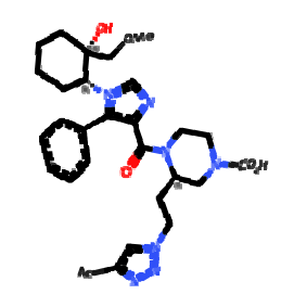 COC[C@]1(O)CCCC[C@H]1n1cnc(C(=O)N2CCN(C(=O)O)C[C@H]2CCn2cc(C(C)=O)nn2)c1-c1ccccc1